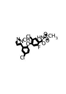 Cn1nccc1-c1cc(Cl)ccc1Oc1cc(F)c(C(=O)NS(C)(=O)=O)cc1Cl